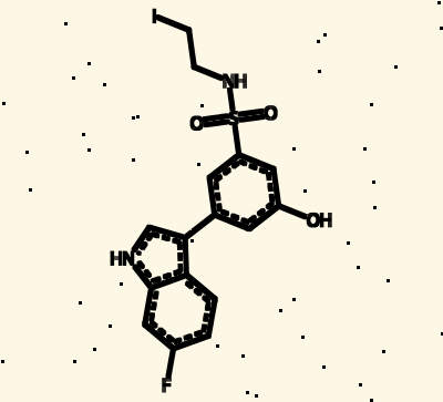 O=S(=O)(NCCI)c1cc(O)cc(-c2c[nH]c3cc(F)ccc23)c1